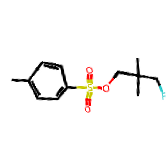 Cc1ccc(S(=O)(=O)OCC(C)(C)CF)cc1